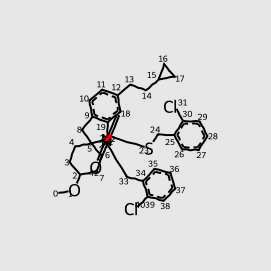 COC1CCC2(CC1)Cc1ccc(CCC3CC3)cc1C21N=C(SCc2ccccc2Cl)C(Cc2ccccc2Cl)C1=O